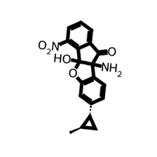 C[C@@H]1C[C@H]1c1ccc2c(c1)OC1(O)c3c(cccc3[N+](=O)[O-])C(=O)C21N